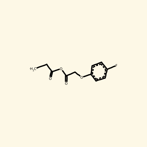 [CH2]CC(=O)OC(=O)COc1ccc(F)cc1